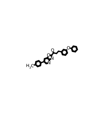 Cc1ccc(-c2cnc3nc(C(=O)CCc4cccc(Oc5ccccc5)c4)oc3c2)cc1